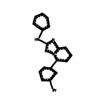 CC(C)c1cccc(-c2cccc3nc(Nc4ccccc4)nn23)c1